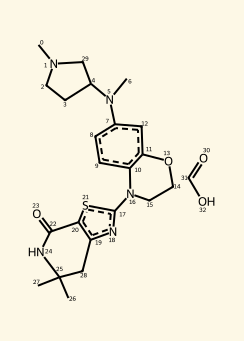 CN1CCC(N(C)c2ccc3c(c2)OCCN3c2nc3c(s2)C(=O)NC(C)(C)C3)C1.O=CO